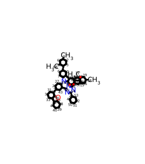 Cc1ccc(-c2ccc3c(c2)c2cc(-c4ccc(C)cc4C)ccc2n3-c2ccc(-c3cccc4c3oc3ccccc34)cc2-c2nc(-c3ccccc3)nc(-c3ccccc3)n2)c(C)c1